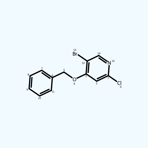 Clc1cc(OCc2ccccc2)c(Br)cn1